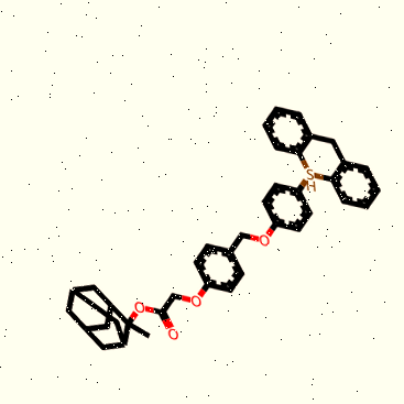 CC1(OC(=O)COc2ccc(COc3ccc([SH]4c5ccccc5Cc5ccccc54)cc3)cc2)C2CC3CC(C2)CC1C3